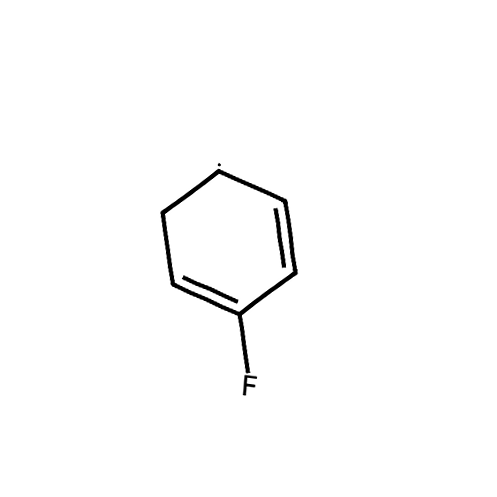 FC1=CC[CH]C=C1